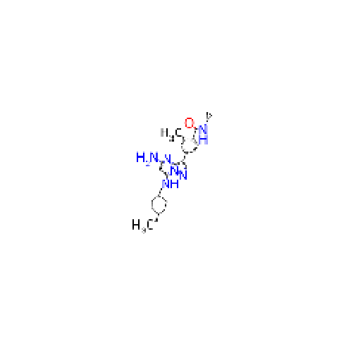 CCC1CCC(CNc2cc(N)nc3c(-c4ccc(C(=O)NC5CC5)c(C)c4)cnn23)CC1